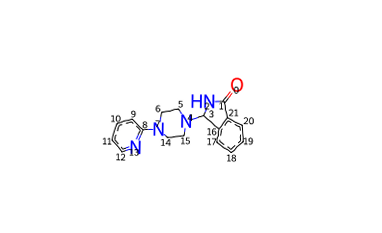 O=C1NC(N2CCN(c3ccccn3)CC2)c2ccccc21